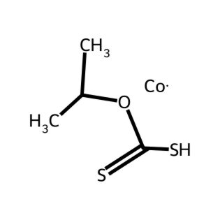 CC(C)OC(=S)S.[Co]